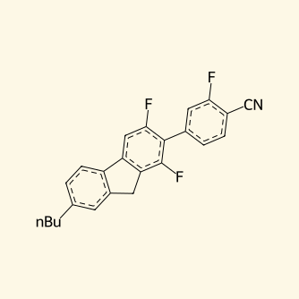 CCCCc1ccc2c(c1)Cc1c-2cc(F)c(-c2ccc(C#N)c(F)c2)c1F